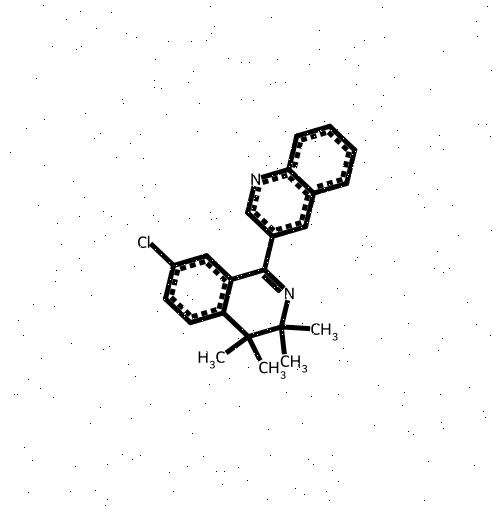 CC1(C)N=C(c2cnc3ccccc3c2)c2cc(Cl)ccc2C1(C)C